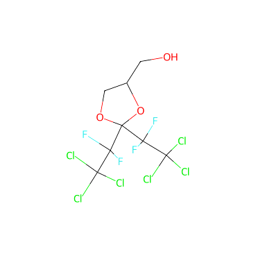 OCC1COC(C(F)(F)C(Cl)(Cl)Cl)(C(F)(F)C(Cl)(Cl)Cl)O1